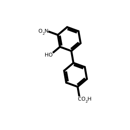 O=C(O)c1ccc(-c2cccc([N+](=O)[O-])c2O)cc1